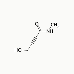 CNC(=O)C#CCO